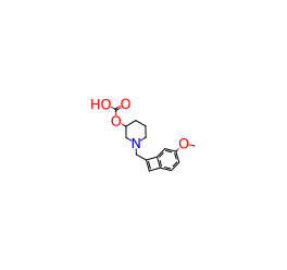 COc1ccc2c(c1)C(CN1CCCC(OC(=O)O)C1)=C2